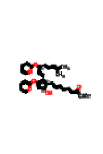 COC(=O)CCCC=CC[C@@H]1[C@@H](C=C[C@H](CCC=C(C)C)OC2CCCCO2)[C@H](OC2CCCCO2)C[C@H]1O